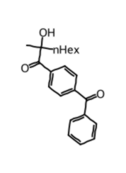 CCCCCCC(C)(O)C(=O)c1ccc(C(=O)c2ccccc2)cc1